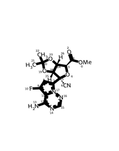 COC(=O)[C@H]1O[C@@](C#N)(c2cc(F)c3c(N)ncnn23)[C@@H]2OC(C)(C)O[C@H]12